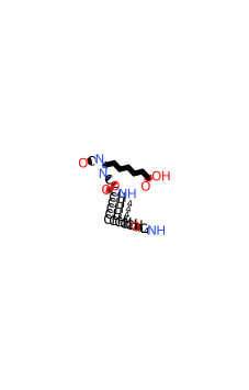 C.C.C.C.C.C.C.C.C.N=C=O.N=C=O.O=C=NC(CCCCCC(=O)O)N=C=O